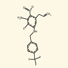 C=CCc1cc(NCc2ccc(C(F)(F)F)cc2)c(F)c(N)c1[N+](=O)[O-]